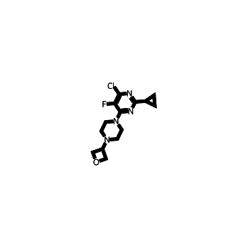 Fc1c(Cl)nc(C2CC2)nc1N1CCN(C2COC2)CC1